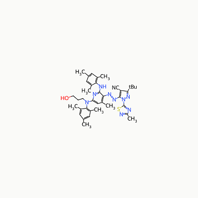 Cc1cc(C)c(Nc2nc(N(CCCO)c3c(C)cc(C)cc3C)cc(C)c2N=Nc2c(C#N)c(C(C)(C)C)nn2-c2nc(C)ns2)c(C)c1